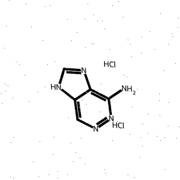 Cl.Cl.Nc1nncc2[nH]cnc12